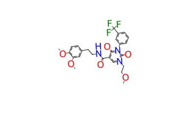 COCCn1cc(C(=O)NCCc2ccc(OC)c(OC)c2)c(=O)n(-c2cccc(C(F)(F)F)c2)c1=O